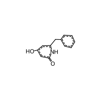 O=c1cc(O)cc(Cc2ccccc2)[nH]1